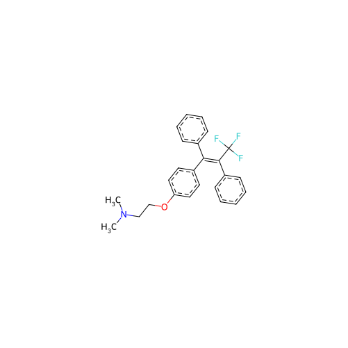 CN(C)CCOc1ccc(/C(=C(\c2ccccc2)C(F)(F)F)c2ccccc2)cc1